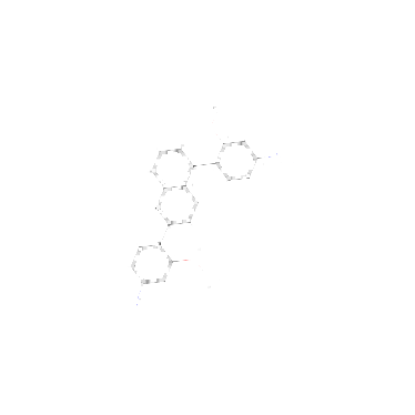 Nc1ccc(-c2ccc3c(-c4ccc(N)cc4OC(F)(F)F)cccc3c2)c(OC(F)(F)F)c1